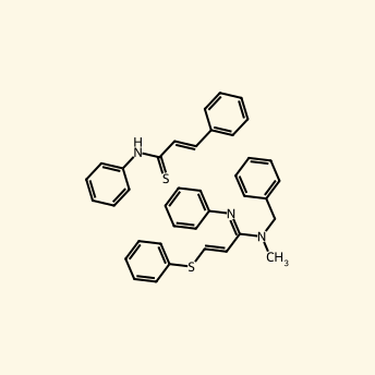 CN(Cc1ccccc1)C(C=CSc1ccccc1)=Nc1ccccc1.S=C(C=Cc1ccccc1)Nc1ccccc1